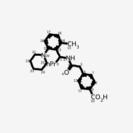 CCCC(NC(=O)Cc1ccc(C(=O)O)cc1)c1c(C)cccc1N1CCCCC1